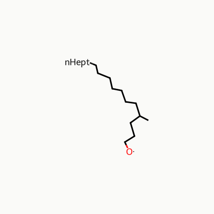 CCCCCCCCCCCCCCC(C)CCC[O]